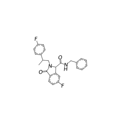 CC(CN1C(=O)c2ccc(F)cc2C1C(=O)NCc1ccccc1)c1ccc(F)cc1